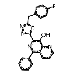 Oc1c(-c2nnc(Cc3ccc(F)cc3)o2)nc(-c2ccccc2)c2cccnc12